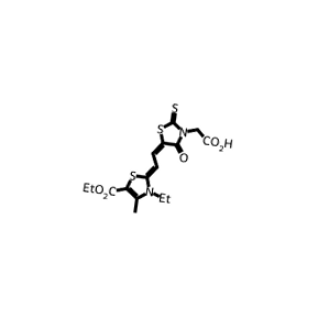 CCOC(=O)C1=C(C)N(CC)/C(=C/C=C2/SC(=S)N(CC(=O)O)C2=O)S1